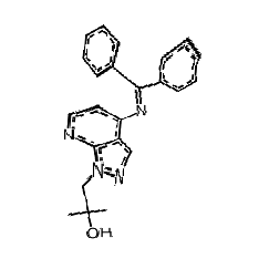 CC(C)(O)Cn1ncc2c(N=C(c3ccccc3)c3ccccc3)ccnc21